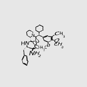 COc1cc([C@@H](C(=O)N2CCCC[C@H]2C(=O)N[C@@H](Cc2ccccc2)C(N)=O)C2CCCCC2)cc(C)c1OC